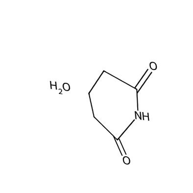 O.O=C1CCCC(=O)N1